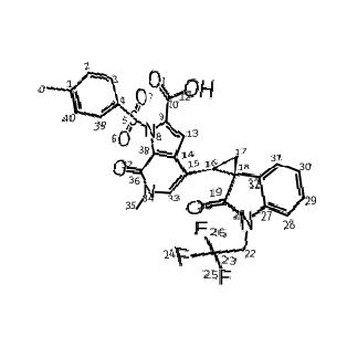 Cc1ccc(S(=O)(=O)n2c(C(=O)O)cc3c([C@H]4C[C@@]45C(=O)N(CC(F)(F)F)c4ccccc45)cn(C)c(=O)c32)cc1